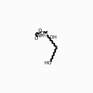 CC(COC(=O)[C@@H]1CCC(=O)N1)OCCC(O)CCCCC/C=C\CCCCCCCCO